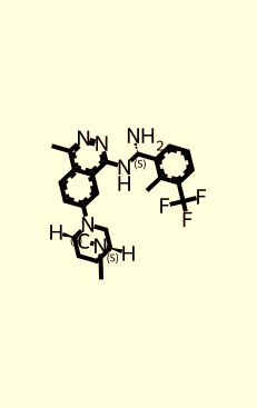 Cc1c([C@@H](N)Nc2nnc(C)c3ccc(N4C[C@@H]5CC[C@H]4CN5C)cc23)cccc1C(F)(F)F